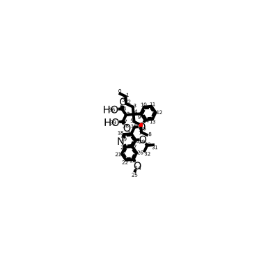 CCCCC(CCCC)(c1ccccc1OCc1cnc2ccc(OC)cc2c1OC(C)C)C(C(=O)O)C(=O)O